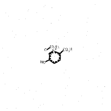 CCOC(=O)Cl.O=C(O)c1ccc(O)cn1